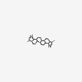 Cc1cn(C)c2c1ccc1c3ccc4c(ccc5c(C)cn(C)c54)c3ccc12